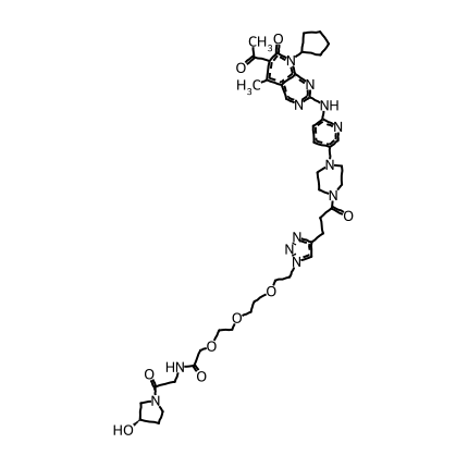 CC(=O)c1c(C)c2cnc(Nc3ccc(N4CCN(C(=O)CCc5cn(CCOCCOCCOCC(=O)NCC(=O)N6CC[C@@H](O)C6)nn5)CC4)cn3)nc2n(C2CCCC2)c1=O